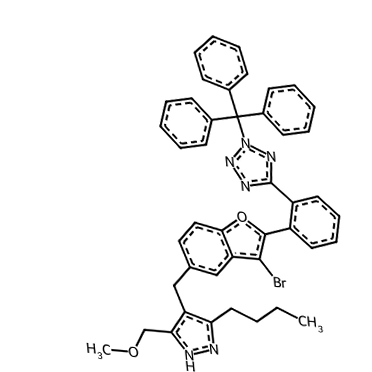 CCCCc1n[nH]c(COC)c1Cc1ccc2oc(-c3ccccc3-c3nnn(C(c4ccccc4)(c4ccccc4)c4ccccc4)n3)c(Br)c2c1